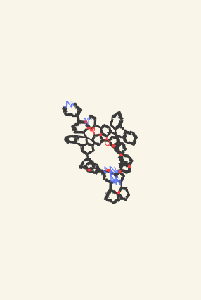 c1ccc(-c2cc(-c3cccc(-c4cccc(-c5ccc6c(c5)Oc5cc(-c7ccncc7)ccc5C65c6ccccc6-c6cc(-c7cccc(-c8cc(-c9ccccc9)nc(-c9cccc(-c%10ccc%11c(c%10)Oc%10cc(-c%12ccncc%12)ccc%10C%11%10c%11ccccc%11-c%11ccccc%11%10)c9)n8)c7)ccc65)c4)c3)nc(-c3ccccc3)n2)cc1